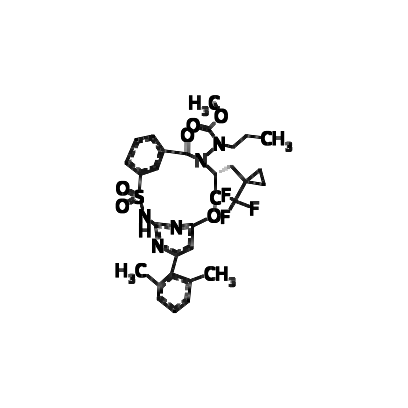 CCCN(C(=O)OC)N1C(=O)c2cccc(c2)S(=O)(=O)Nc2nc(cc(-c3c(C)cccc3C)n2)OC[C@H]1CC1(C(F)(F)F)CC1